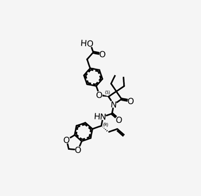 C=CC[C@@H](NC(=O)N1C(=O)C(CC)(CC)[C@@H]1Oc1ccc(CC(=O)O)cc1)c1ccc2c(c1)OCO2